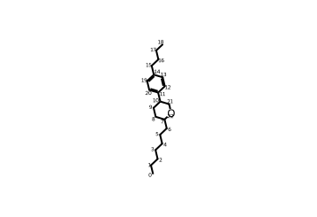 CCCCCCCC1CCC(c2ccc(CCCC)cc2)CO1